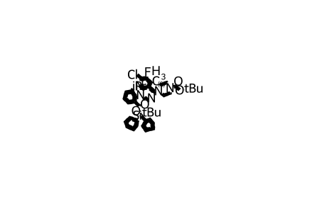 CC(C)c1cccc(CO[Si](c2ccccc2)(c2ccccc2)C(C)(C)C)c1-n1c(=O)nc(N2CCN(C(=O)OC(C)(C)C)C[C@@H]2C)c2cc(F)c(Cl)nc21